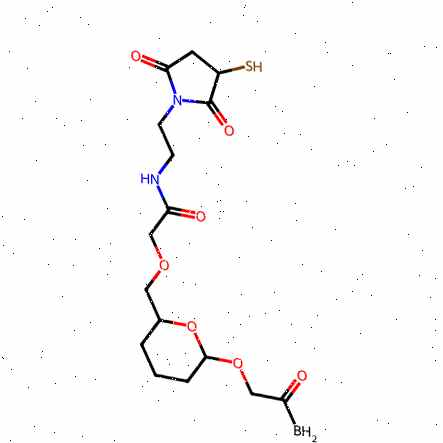 BC(=O)COC1CCCC(COCC(=O)NCCN2C(=O)CC(S)C2=O)O1